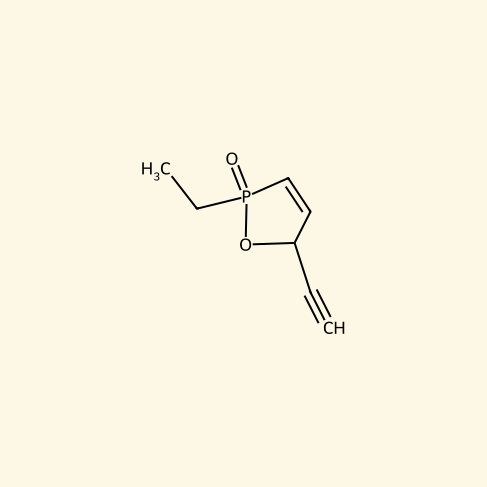 C#CC1C=CP(=O)(CC)O1